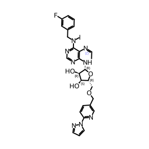 C/C=N\c1c(N[C@@H]2O[C@H](COCc3ccc(-n4cccn4)nc3)[C@@H](O)[C@H]2O)ncnc1N(I)Cc1cccc(F)c1